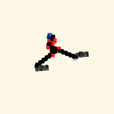 CCCCCCCC/C=C\CCCCCCCCOc1cc(OCCCCCCCC/C=C\CCCCCCCC)cc(C2OCC(OC(=O)C(C)N(C)C)O2)c1